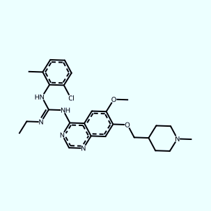 CCN=C(Nc1c(C)cccc1Cl)Nc1ncnc2cc(OCC3CCN(C)CC3)c(OC)cc12